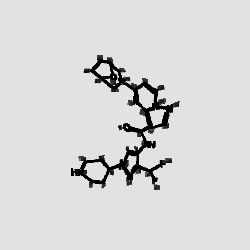 O=C(Nc1cn(C2CCNCC2)nc1C(F)F)c1cnn2ccc(N3CC4CCC(C3)O4)nc12